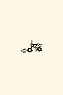 COc1cccc(F)c1-n1nc2c(-c3cc(N4CCN(C)CC4)ccc3F)n[nH]c2cc1=O